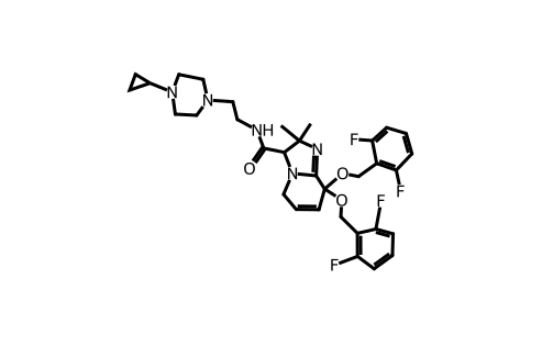 CC1(C)N=C2N(CC=CC2(OCc2c(F)cccc2F)OCc2c(F)cccc2F)C1C(=O)NCCN1CCN(C2CC2)CC1